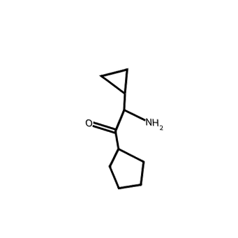 NC(C(=O)C1CCCC1)C1CC1